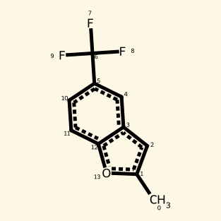 Cc1cc2cc(C(F)(F)F)ccc2o1